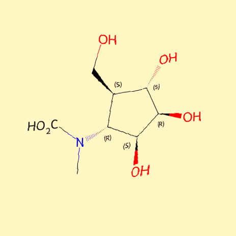 CN(C(=O)O)[C@H]1[C@H](O)[C@H](O)[C@@H](O)[C@@H]1CO